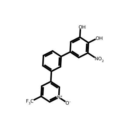 O=[N+]([O-])c1cc(-c2cccc(-c3cc(C(F)(F)F)c[n+]([O-])c3)c2)cc(O)c1O